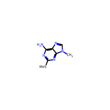 CSc1nc(N)c2ncn(C)c2n1